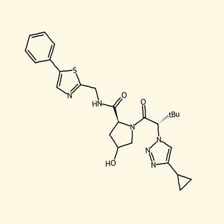 CC(C)(C)[C@@H](C(=O)N1CC(O)C[C@H]1C(=O)NCc1ncc(-c2ccccc2)s1)n1cc(C2CC2)nn1